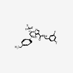 CCc1ccc([C@@H]2C[C@H](C(F)(F)F)n3ncc(C(=O)NCc4cc(F)cc(F)c4)c3N2)cc1